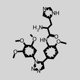 COc1ccc(-c2cnnn2-c2cc(OC)c(OC)c(OC)c2)cc1NC(=O)C(N)Cc1cnc[nH]1